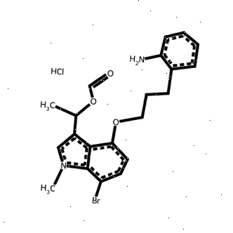 CC(OC=O)c1cn(C)c2c(Br)ccc(OCCCc3ccccc3N)c12.Cl